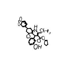 CCC1=C(C(=O)OC2CCCC2)C(c2cccc(O)c2)C2=C(CC(c3ccc4c(c3)OCO4)CC2=O)N1